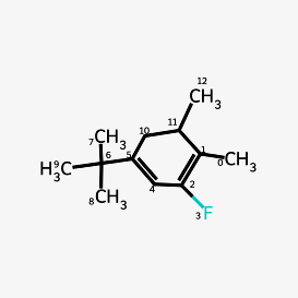 CC1=C(F)C=C(C(C)(C)C)CC1C